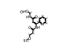 CCOCCC(=O)NC(=CC(=O)NC[C]=O)c1ccccn1